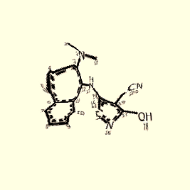 CN(C)c1ccc2ccccc2c1Nc1snc(O)c1C#N